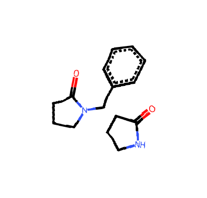 O=C1CCCN1.O=C1CCCN1Cc1ccccc1